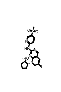 C[C@@]1(O)CCC[C@H]1N1CC(I)=Cc2cnc(Nc3ccc(S(C)(=O)=O)cn3)nc21